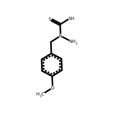 COc1ccc(CN(N)C(=S)S)cc1